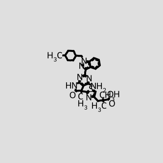 CC1CCC(Cn2nc(-c3nc(N)c4c(n3)NC(=O)C4(C)c3nc(CC(C)(C)C(=O)O)cs3)c3ccccc32)CC1